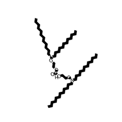 CCCCCCCCCCCCN(CCCCCCCCCCCC)OCCO[PH](=O)OCCON(CCCCCCCCCCCC)CCCCCCCCCCCC